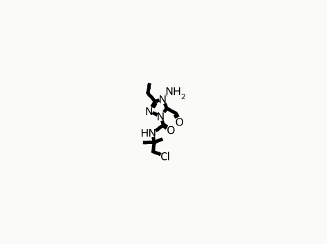 CCC1=NN(C(=O)NC(C)(C)CCl)C(C=O)N1N